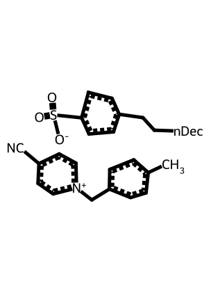 CCCCCCCCCCCCc1ccc(S(=O)(=O)[O-])cc1.Cc1ccc(C[n+]2ccc(C#N)cc2)cc1